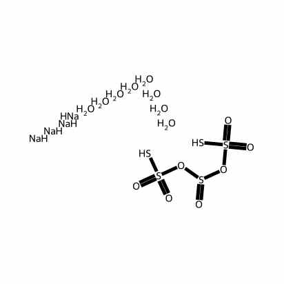 O.O.O.O.O.O.O.O.O=S(OS(=O)(=O)S)OS(=O)(=O)S.[NaH].[NaH].[NaH].[NaH]